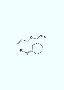 C=CCOCC=C.ON=C1CCCCC1